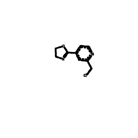 ClCc1cc(C2=NCCO2)ccn1